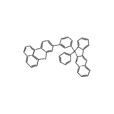 c1ccc(C2(c3cccc(-c4ccc5c(c4)Sc4cccc6cccc-5c46)c3)c3ccccc3-c3cc4ccccc4cc32)cc1